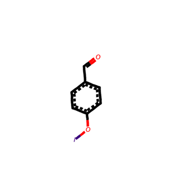 O=Cc1ccc(OI)cc1